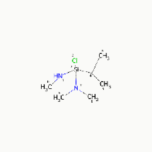 CN[Si](Cl)(C(C)C)N(C)C